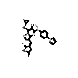 Cc1c(Nc2ccc(-n3cccn3)cc2)nc2c(/C=C3/CC(=O)NC3=O)cnn2c1NC1CC1